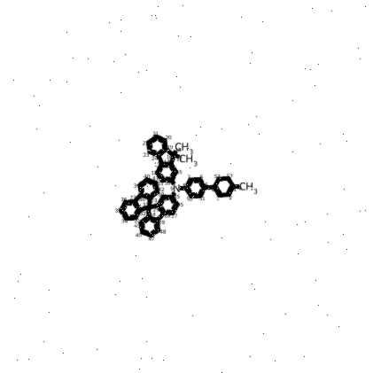 CC1=CC=C(c2ccc(N(c3ccc4c(c3)C(C)(C)c3ccccc3-4)c3ccc4c(c3)C3(c5ccccc5-c5ccccc53)c3ccccc3-4)cc2)CC1